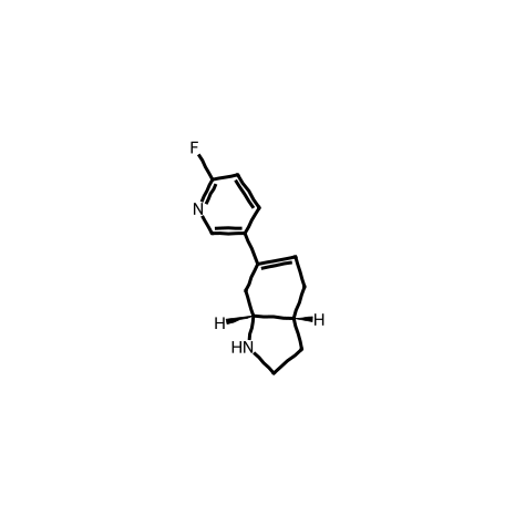 Fc1ccc(C2=CC[C@@H]3CCN[C@@H]3C2)cn1